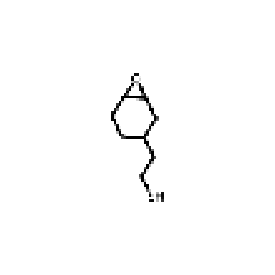 SCCC1CCC2OC2C1